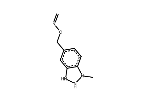 C=NOCc1ccc2c(c1)NNN2C